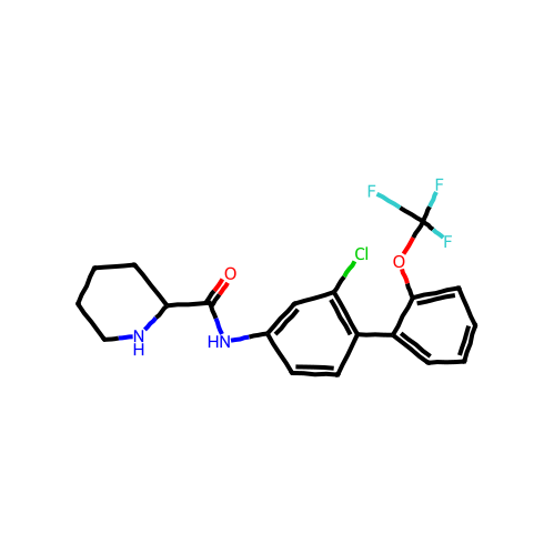 O=C(Nc1ccc(-c2ccccc2OC(F)(F)F)c(Cl)c1)C1CCCCN1